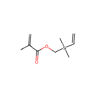 C=C[Si](C)(C)COC(=O)C(=C)C